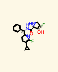 O=C(N[C@@H](c1ccccc1)c1ccc(C2CC2)c(F)n1)[C@H]1NC[C@@H](F)[C@@H]1O